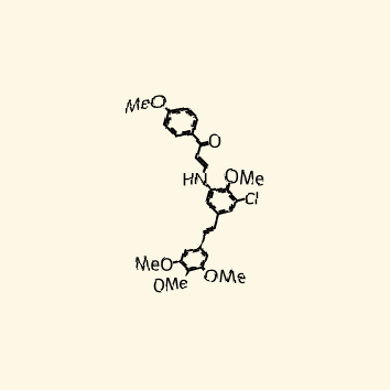 COc1ccc(C(=O)C=CNc2cc(C=Cc3cc(OC)c(OC)c(OC)c3)cc(Cl)c2OC)cc1